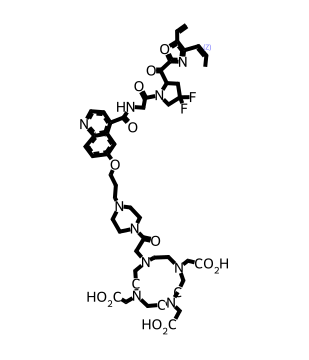 C=Cc1oc(C(=O)C2CC(F)(F)CN2C(=O)CNC(=O)c2ccnc3ccc(OCCCN4CCN(C(=O)CN5CCN(CC(=O)O)CCN(CC(=O)O)CCN(CC(=O)O)CC5)CC4)cc23)nc1/C=C\C